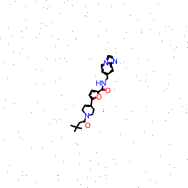 CC(C)(C)CC(=O)N1CC=C(c2ccc(C(=O)NCc3ccn4ccnc4c3)o2)CC1